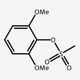 COc1cccc(OC)c1OS(C)(=O)=O